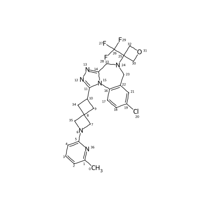 Cc1cccc(N2CC3(CC(c4nnc5n4-c4ccc(Cl)cc4CN(C4(C(F)(F)F)COC4)C5)C3)C2)n1